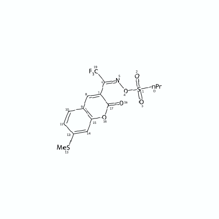 CCCS(=O)(=O)O/N=C(\c1cc2ccc(SC)cc2oc1=O)C(F)(F)F